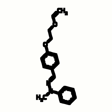 C=COCCOc1ccc(C=NN(C)c2ccccc2)cc1